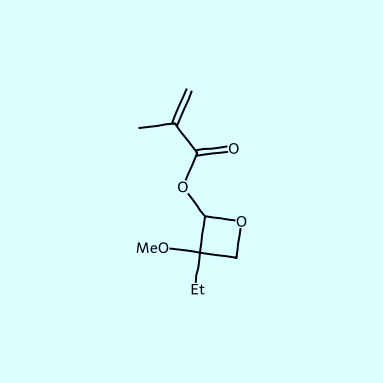 C=C(C)C(=O)OC1OCC1(CC)OC